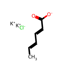 C/C=C/C=C/C(=O)[O-].[Cl-].[K+].[K+]